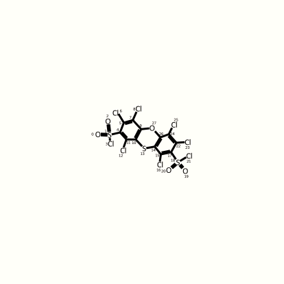 O=S(=O)(Cl)c1c(Cl)c(Cl)c2c(c1Cl)Sc1c(Cl)c(S(=O)(=O)Cl)c(Cl)c(Cl)c1O2